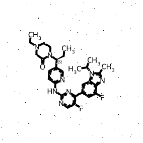 CC[C@@H](c1ccc(Nc2ncc(F)c(-c3cc(F)c4nc(C)n(C(C)C)c4c3)n2)nc1)N1CCN(CC)CC1=O